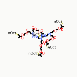 CCCCCCCCSCC(C)C(=O)OCCCOC(=O)CCN(CCNCCN(CCCOCCOC(=O)C(C)CSCCCCCCCC)CCC(=O)OCCOC(=O)C(C)CSCCCCCCCC)CCNCCN(CCC(=O)OCCOC(=O)C(C)CSCCCCCCCC)CCC(=O)OCCOC(=O)C(C)CSCCCCCCCC